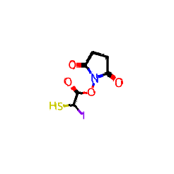 O=C(ON1C(=O)CCC1=O)C(S)I